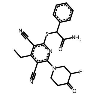 CCc1c(C#N)c(SC(C(N)=O)c2ccccc2)nc(N2CCC(=O)C(F)C2)c1C#N